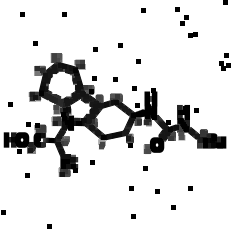 CCCCNC(=O)N[C@H]1CCc2c(c3ccccc3n2C(CC)C(=O)O)C1